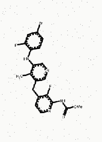 COC(=O)Nc1nccc(Cc2cncc(Nc3ccc(Br)cc3F)c2C)c1F